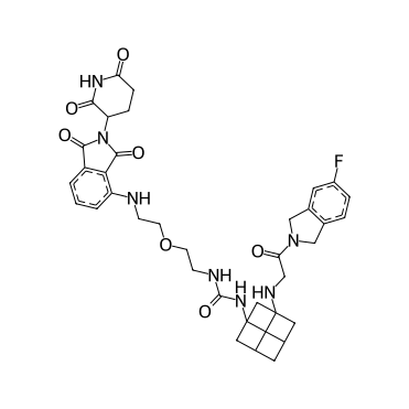 O=C1CCC(N2C(=O)c3cccc(NCCOCCNC(=O)NC45CC6CC7CC(NCC(=O)N8Cc9ccc(F)cc9C8)(C4)C765)c3C2=O)C(=O)N1